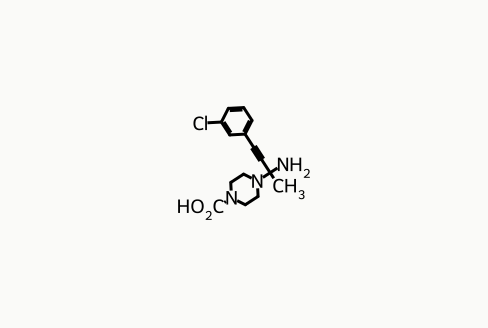 CC(N)(C#Cc1cccc(Cl)c1)N1CCN(C(=O)O)CC1